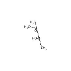 CCCCCCCCCN(CCO)CCCCCCCC(=O)OC(CCCCCC)CCCCCCC